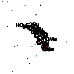 COc1ccc(CN(Cc2ccc(OC)cc2)S(=O)(=O)c2c(S(=O)(=O)NC3CCN(C(=O)O)C3C(C)(C)C)ccc(-c3cccc(NC(=O)OC(C)(C)C)n3)c2-c2nnn(Cc3ccc(OC)cc3)n2)cc1